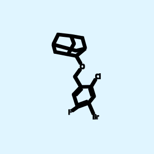 Fc1cc(COC2C3CC4CC(C3)CC2C4)c(Cl)cc1Br